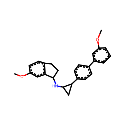 COc1cccc(-c2ccc(C3CC3NC3CCc4ccc(OC)cc43)cc2)c1